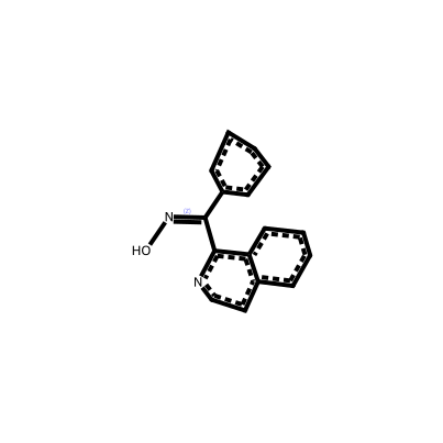 O/N=C(/c1ccccc1)c1nccc2ccccc12